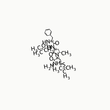 CC1C[C@H](NC(=O)[C@H](Cc2ccccc2)NC(=O)OC(C)(C)C)C(=O)N1[C@@H](CSSC(C)(C)C)C(=O)NN